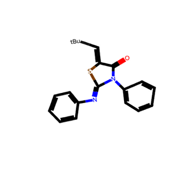 CC(C)(C)/C=C1\S/C(=N\c2ccccc2)N(c2ccccc2)C1=O